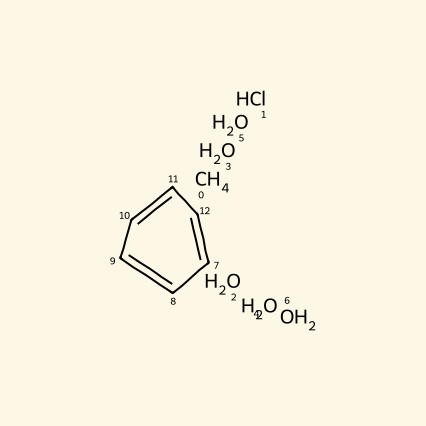 C.Cl.O.O.O.O.O.c1ccccc1